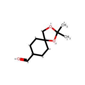 CC1(C)OCC2(CCC(C=O)CC2)O1